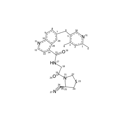 Cc1cc(C)c(Cc2ccc3nccc(C(=O)NCC(=O)N4CSC[C@H]4C#N)c3c2)cn1